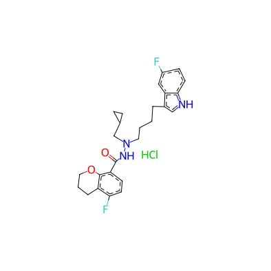 Cl.O=C(NN(CCCCc1c[nH]c2ccc(F)cc12)CC1CC1)c1ccc(F)c2c1OCCC2